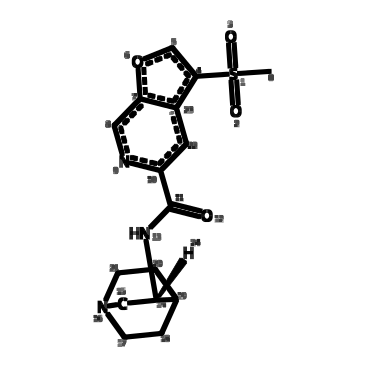 CS(=O)(=O)c1coc2cnc(C(=O)N[C@H]3CN4CCC3CC4)cc12